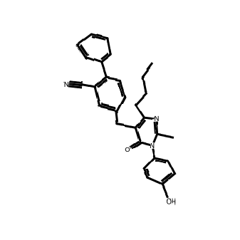 CCCCc1nc(C)n(-c2ccc(O)cc2)c(=O)c1Cc1ccc(-c2ccccc2)c(C#N)c1